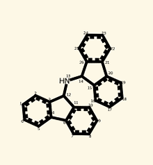 c1ccc2c(c1)-c1ccccc1C2NC1c2ccccc2-c2ccccc21